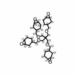 C1CC2OC2CC1COCC(COCC1CCC2OC2C1)(COCC1CCC2OC2C1)COCC1CCC2OC2C1